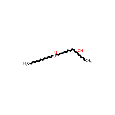 CCCCCCCCCCCCCOC(=O)CCCCCCC/C=C\C[C@H](O)CCCCCC